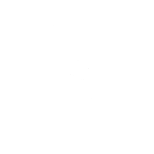 CC(C)=CCC/C(C)=C/Cc1cc(C)ccc1S(=O)(=O)c1ccc(C)cc1C/C=C(\C)CCC=C(C)C